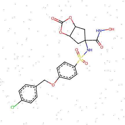 O=C1OC2CC(NS(=O)(=O)c3ccc(OCc4ccc(Cl)cc4)cc3)(C(=O)NO)CC2O1